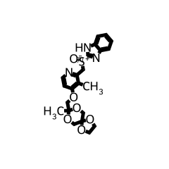 Cc1c(OCC2(C)OCC3(CO2)OCCO3)ccnc1C[S@+]([O-])c1nc2ccccc2[nH]1